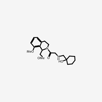 COCC1c2c(cccc2OC)CCN1C(=O)CNCC1(O)CCCCC1